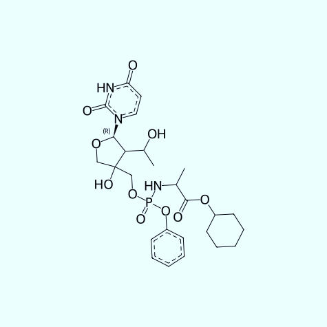 CC(NP(=O)(OCC1(O)CO[C@@H](n2ccc(=O)[nH]c2=O)C1C(C)O)Oc1ccccc1)C(=O)OC1CCCCC1